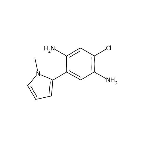 Cn1cccc1-c1cc(N)c(Cl)cc1N